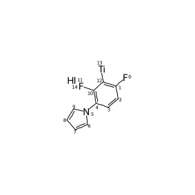 Fc1ccc(-n2cccc2)c(F)[c]1[Ti].I